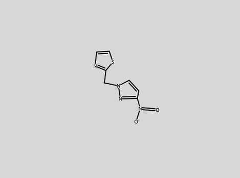 O=[N+]([O-])c1ccn(Cc2nccs2)n1